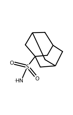 [NH]S(=O)(=O)C12CC3CC(CC(C3)C1)C2